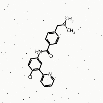 CN(C)Cc1ccc(C(=O)Nc2ccc(Cl)c(-c3ccccn3)c2)cc1